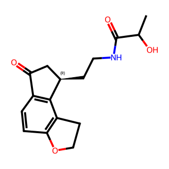 CC(O)C(=O)NCC[C@@H]1CC(=O)c2ccc3c(c21)CCO3